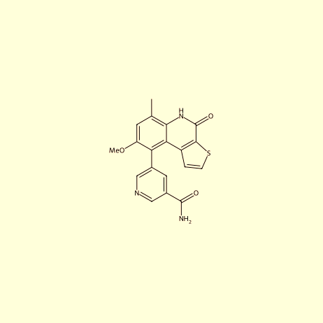 COc1cc(C)c2[nH]c(=O)c3sccc3c2c1-c1cncc(C(N)=O)c1